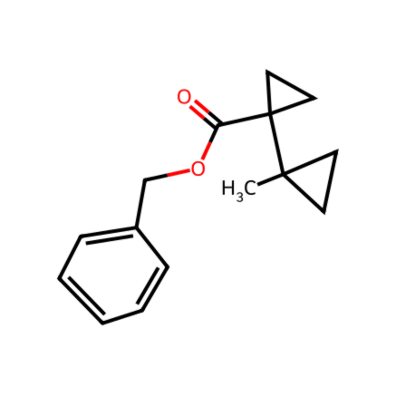 CC1(C2(C(=O)OCc3ccccc3)CC2)CC1